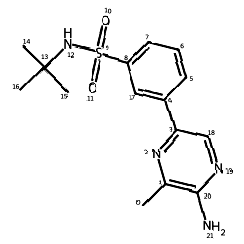 Cc1nc(-c2cccc(S(=O)(=O)NC(C)(C)C)c2)cnc1N